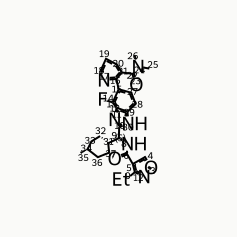 CCc1nocc1C(=O)N[C@H](c1nc2c(F)c(-c3ncccc3C(=O)N(C)C)ccc2[nH]1)[C@H]1CC[C@H](C)CC1